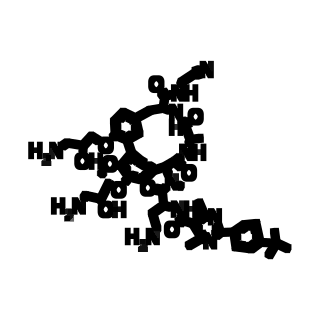 COc1c(OCC(O)CN)cc2cc1-c1cc(ccc1OCC(O)CN)CC(C(=O)NCC#N)NC(=O)C(C)NC(=O)C2N(C)C(=O)C(CCN)NC(=O)c1c(C)nc(-c2ccc(C(C)(C)C)cc2)nc1C